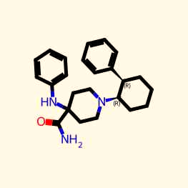 NC(=O)C1(Nc2ccccc2)CCN([C@@H]2CCCC[C@@H]2c2ccccc2)CC1